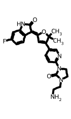 CC1(C)OC(=C2C(=O)Nc3cc(F)ccc32)C=C1c1ccc(N2CCN(CCN)C2=O)nc1